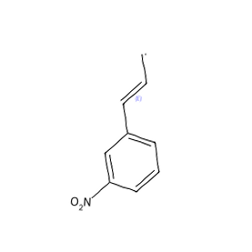 [CH2]/C=C/c1cccc([N+](=O)[O-])c1